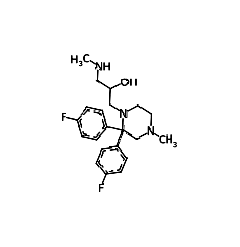 CNCC(O)CN1CCN(C)CC1(c1ccc(F)cc1)c1ccc(F)cc1